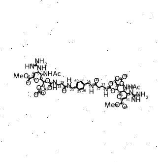 COC(=O)C1=C[C@H](NC(=N)N)[C@@H](NC(C)=O)[C@H]([C@H](OC(=O)NCCC(=O)NCc2ccc(CNC(=O)CCNC(=O)OC([C@H]3COC(=O)O3)[C@@H]3OC(C(=O)OC)=CC(NC(=N)N)[C@H]3NC(C)=O)cc2)[C@H]2COC(=O)O2)O1